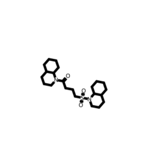 O=C(CCCS(=O)(=O)N1CCCC2CCCCC21)N1CCCC2CCCCC21